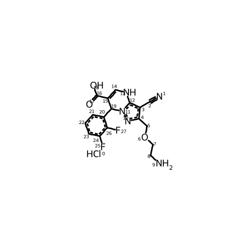 Cl.N#Cc1c(COCCN)nn2c1NC=C(C(=O)O)C2c1cccc(F)c1F